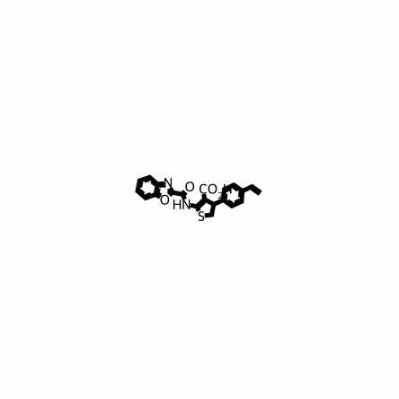 C=Cc1ccc(C2CSC(NC(=O)c3nc4ccccc4o3)=C2C(=O)O)cc1